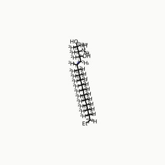 [2H]/C(=C(/[2H])[C@@]([2H])(O)[C@@]([2H])(N([2H])[2H])C([2H])([2H])O)C([2H])([2H])C([2H])([2H])C([2H])([2H])C([2H])([2H])C([2H])([2H])C([2H])([2H])C([2H])([2H])C([2H])([2H])C([2H])([2H])C([2H])([2H])C([2H])CC